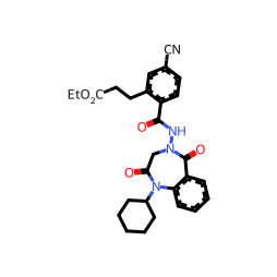 CCOC(=O)CCc1cc(C#N)ccc1C(=O)NN1CC(=O)N(C2CCCCC2)c2ccccc2C1=O